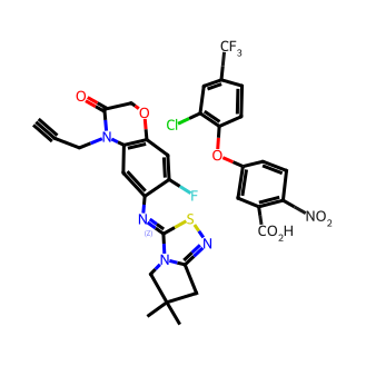 C#CCN1C(=O)COc2cc(F)c(/N=c3\snc4n3CC(C)(C)C4)cc21.O=C(O)c1cc(Oc2ccc(C(F)(F)F)cc2Cl)ccc1[N+](=O)[O-]